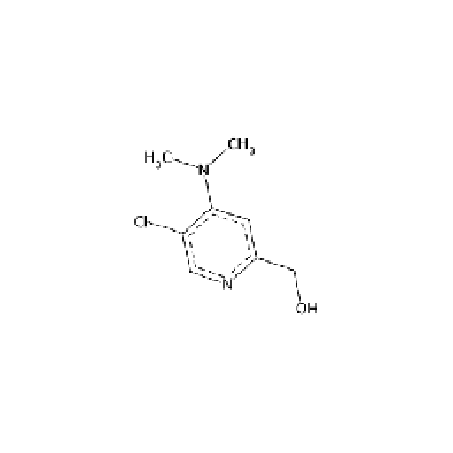 CN(C)c1cc(CO)ncc1Cl